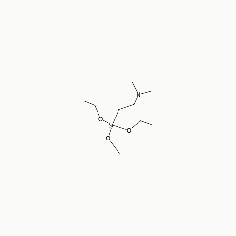 CCO[Si](CCN(C)C)(OC)OCC